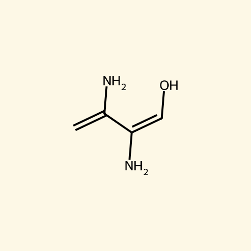 C=C(N)/C(N)=C\O